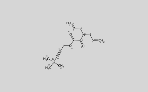 C=CCN(CC=C)C(=O)C(=O)OCC#C[Si](C)(C)C